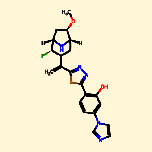 C=C(c1nnc(-c2ccc(-n3ccnc3)cc2O)s1)[C@@H]1C[C@@H]2N[C@@H](C[C@H]2OC)[C@H]1F